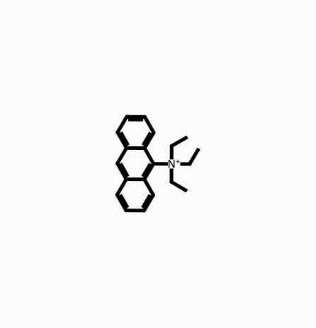 CC[N+](CC)(CC)c1c2ccccc2cc2ccccc12